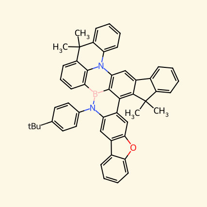 CC(C)(C)c1ccc(N2B3c4cccc5c4N(c4ccccc4C5(C)C)c4cc5c(c(c43)-c3cc4oc6ccccc6c4cc32)C(C)(C)c2ccccc2-5)cc1